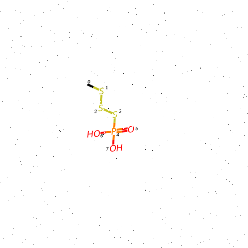 CSSSP(=O)(O)O